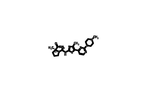 Cc1nc(NC(=O)N2CCC[C@@]2(C)C(N)=O)sc1-c1ccnc(N2CCN(C)CC2)n1